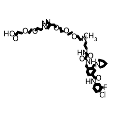 CN(CCCNC(=O)C(=O)NCc1ccc(C(=O)Nc2ccc(Cl)c(F)c2)cc1CN1CCCCC1)CCOCCOCCOCc1cn(CCOCCOCCC(=O)O)nn1